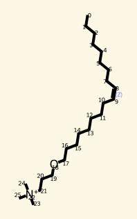 CCCCCCCC/C=C\CCCCCCCCOCCC[N+](C)(C)C